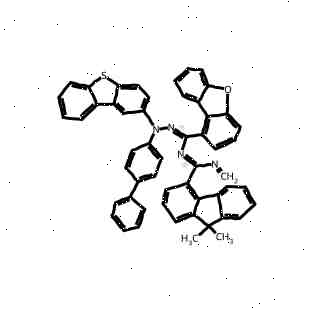 C=N/C(=N\C(=N/N(c1ccc(-c2ccccc2)cc1)c1ccc2sc3ccccc3c2c1)c1cccc2oc3ccccc3c12)c1cccc2c1-c1ccccc1C2(C)C